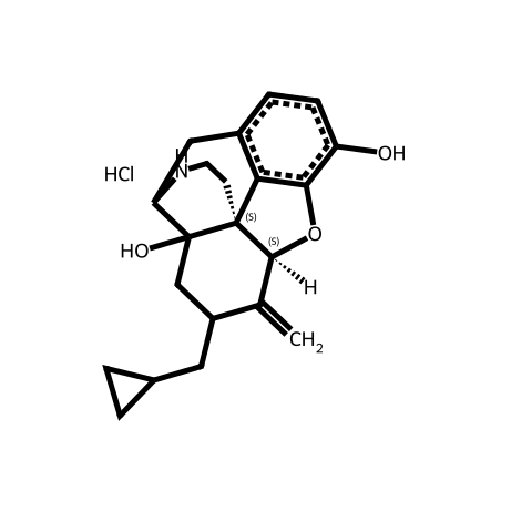 C=C1C(CC2CC2)CC2(O)C3Cc4ccc(O)c5c4[C@@]2(CCN3)[C@H]1O5.Cl